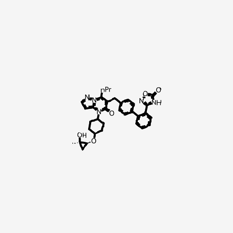 CCCc1c(Cc2ccc(-c3ccccc3-c3noc(=O)[nH]3)cc2)c(=O)n(C2CCC(O[C@@H]3C[C@@]3(C)O)CC2)c2ccnn12